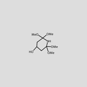 COC1(OC)CC(O)CC(OC)(OC)N1